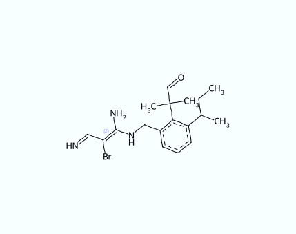 CCC(C)c1cccc(CN/C(N)=C(\Br)C=N)c1C(C)(C)C=O